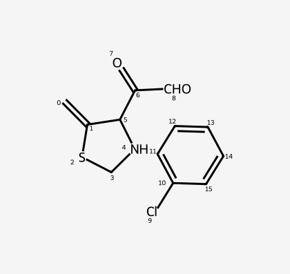 C=C1SCNC1C(=O)C=O.Clc1ccccc1